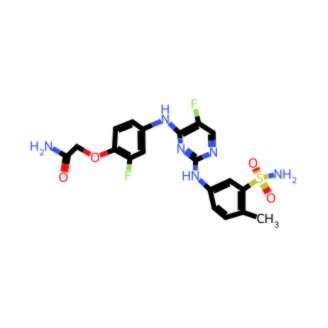 Cc1ccc(Nc2ncc(F)c(Nc3ccc(OCC(N)=O)c(F)c3)n2)cc1S(N)(=O)=O